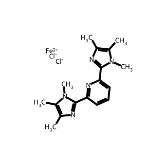 Cc1nc(-c2cccc(-c3nc(C)c(C)n3C)n2)n(C)c1C.[Cl-].[Cl-].[Fe+2]